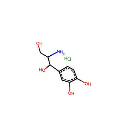 Cl.NC(CO)C(O)c1ccc(O)c(O)c1